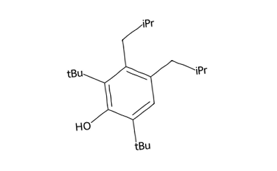 CC(C)Cc1cc(C(C)(C)C)c(O)c(C(C)(C)C)c1CC(C)C